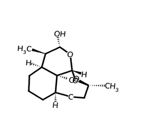 C[C@H]1[C@H](O)O[C@@H]2O[C@]3(C)CC[C@H]4CCC[C@@H]1[C@]42OO3